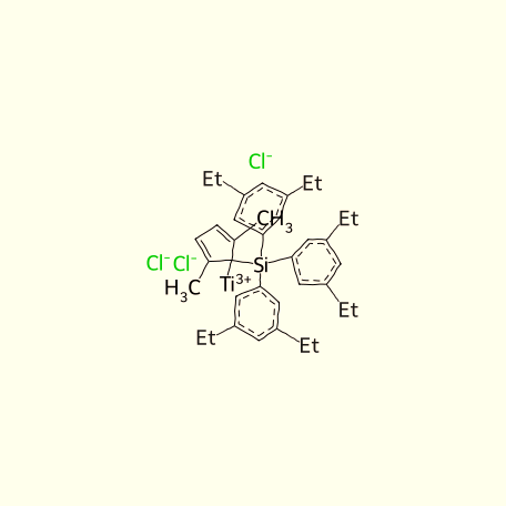 CCc1cc(CC)cc([Si](c2cc(CC)cc(CC)c2)(c2cc(CC)cc(CC)c2)[C]2([Ti+3])C(C)=CC=C2C)c1.[Cl-].[Cl-].[Cl-]